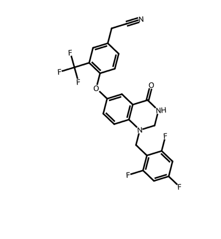 N#CCc1ccc(Oc2ccc3c(c2)C(=O)NCN3Cc2c(F)cc(F)cc2F)c(C(F)(F)F)c1